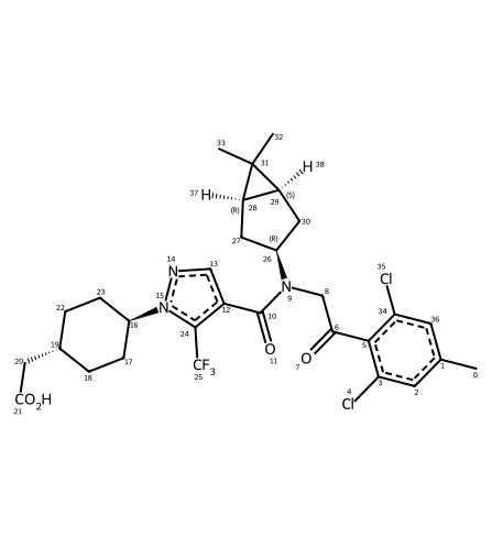 Cc1cc(Cl)c(C(=O)CN(C(=O)c2cnn([C@H]3CC[C@H](CC(=O)O)CC3)c2C(F)(F)F)[C@H]2C[C@@H]3[C@H](C2)C3(C)C)c(Cl)c1